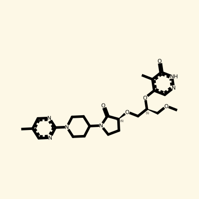 COC[C@@H](CO[C@H]1CCN(C2CCN(c3ncc(C)cn3)CC2)C1=O)Oc1cn[nH]c(=O)c1C